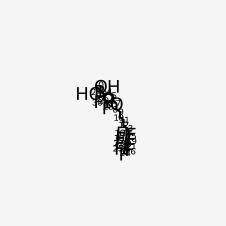 OB(O)c1ccc(OCCCCCCC(F)(F)C(F)(F)C(F)(F)C(F)(F)F)c(F)c1F